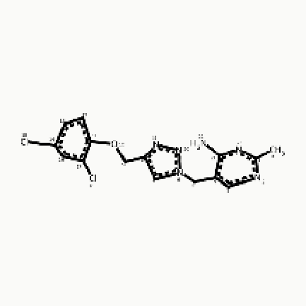 Cc1ncc(Cn2cc(COc3ccc(Cl)cc3Cl)nn2)c(N)n1